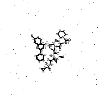 C=C[C@@H]1C[C@]1(NC(=O)[C@@H]1C[C@@H](Oc2cc(-c3ccccc3)nc3cc(C)ccc23)CN1C(=O)[C@@H](NC(=O)N1CCCCC1)C(C)(C)C)C(=O)NS(=O)(=O)C1CC1